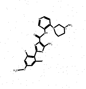 COc1cc(F)c(-c2nc(C(=O)Nc3cnccc3N3CCC[C@H](N)C3)c(N)s2)c(F)c1